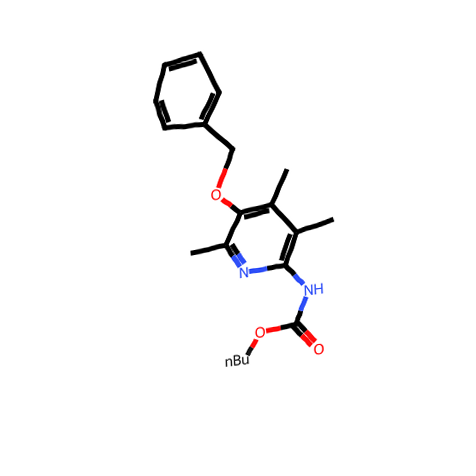 CCCCOC(=O)Nc1nc(C)c(OCc2ccccc2)c(C)c1C